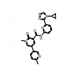 Cc1ccc(-c2cc(C(=O)Nc3cccc(-c4nncn4C4CC4)n3)c(=O)n(C)c2)cn1